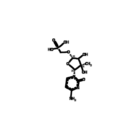 C[C@@]1(O)C(O)[C@@H](OCP(=O)(O)O)O[C@H]1n1ccc(N)nc1=O